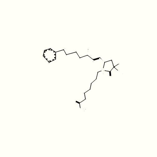 COC(=O)CCCCCCN1C(=O)C(F)(F)C[C@@H]1C=C[C@@H](O)CCCCc1ccccc1